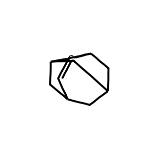 [C]1=CC2CC3CC1CC(C2)C3